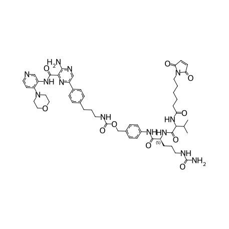 CC(C)C(NC(=O)CCCCCN1C(=O)C=CC1=O)C(=O)N[C@@H](CCCNC(N)=O)C(=O)Nc1ccc(COC(=O)NCCCc2ccc(-c3cnc(N)c(C(=O)Nc4cnccc4N4CCOCC4)n3)cc2)cc1